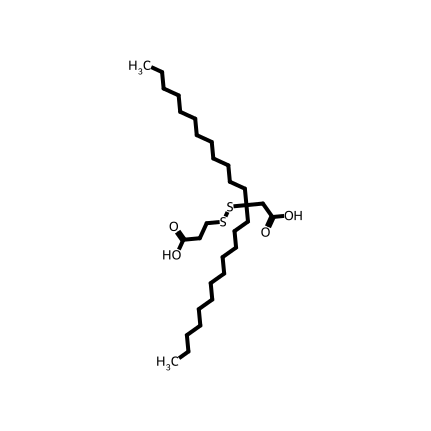 CCCCCCCCCCCCC(CCCCCCCCCCCC)(CC(=O)O)SSCCC(=O)O